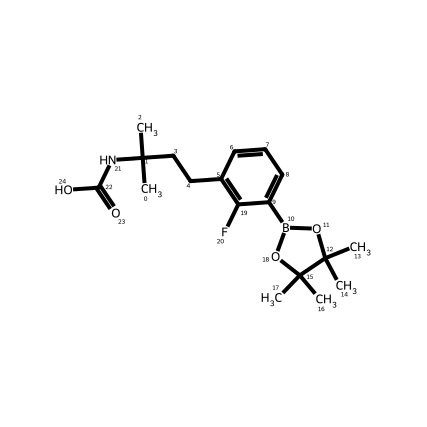 CC(C)(CCc1cccc(B2OC(C)(C)C(C)(C)O2)c1F)NC(=O)O